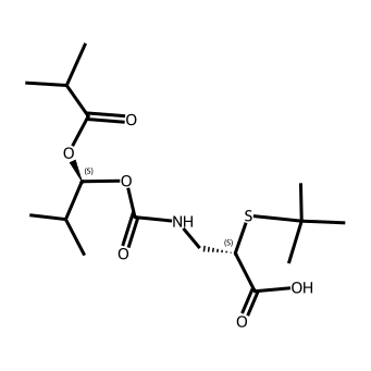 CC(C)C(=O)O[C@@H](OC(=O)NC[C@H](SC(C)(C)C)C(=O)O)C(C)C